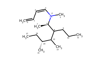 C=C/C=C\N(C)[C@H](C)C(CCC)C(C)[C@H](C)CC